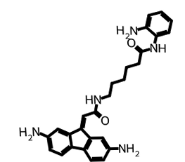 Nc1ccc2c(c1)C(=CC(=O)NCCCCCC(=O)Nc1ccccc1N)c1cc(N)ccc1-2